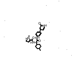 CC1CCC([C@H](NC(=O)c2ccnn2C)C(=O)Nc2ccc(-c3cc[nH]c(=O)c3)cc2)CC1